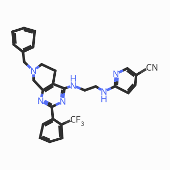 N#Cc1ccc(NCCNc2nc(-c3ccccc3C(F)(F)F)nc3c2CCN(Cc2ccccc2)C3)nc1